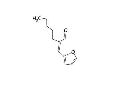 CCCCCC(C=O)=Cc1ccco1